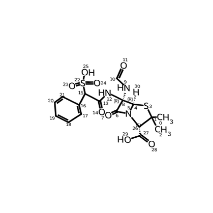 CC1(C)S[C@H]2N(C(=O)[C@@]2(NC=O)NC(=O)C(c2ccccc2)S(=O)(=O)O)[C@H]1C(=O)O